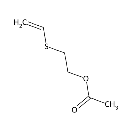 C=CSCCOC(C)=O